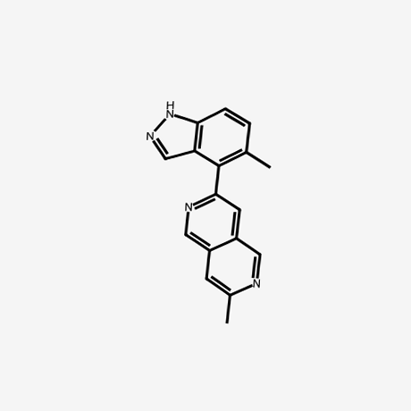 Cc1cc2cnc(-c3c(C)ccc4[nH]ncc34)cc2cn1